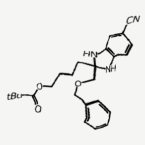 CC(C)(C)C(=O)OCCCCC1(COCc2ccccc2)Nc2ccc(C#N)cc2N1